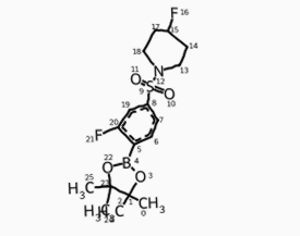 CC1(C)OB(c2ccc(S(=O)(=O)N3CCC(F)CC3)cc2F)OC1(C)C